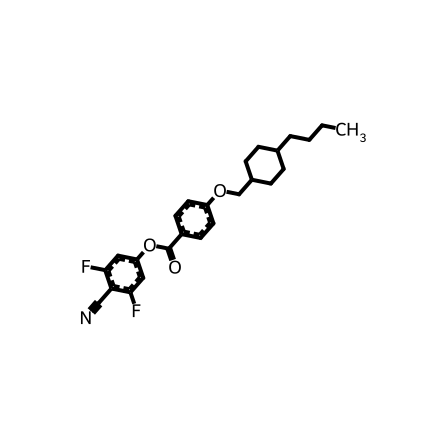 CCCCC1CCC(COc2ccc(C(=O)Oc3cc(F)c(C#N)c(F)c3)cc2)CC1